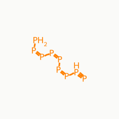 P#[PH]\P=P/P=P\P=P/P